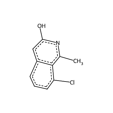 Cc1nc(O)cc2cccc(Cl)c12